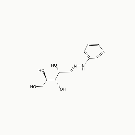 OC[C@@H](O)[C@@H](O)[C@H](O)C=NNc1ccccc1